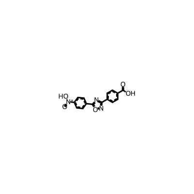 O=C(O)c1ccc(-c2noc(-c3ccc([N+](=O)O)cc3)n2)cc1